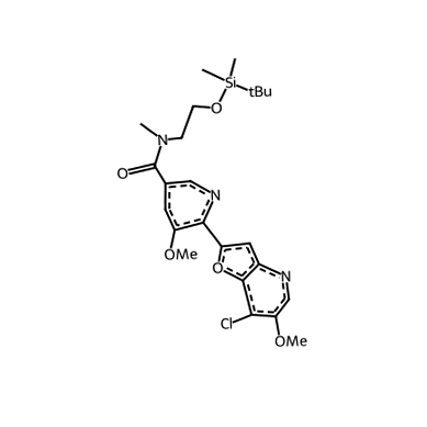 COc1cc(C(=O)N(C)CCO[Si](C)(C)C(C)(C)C)cnc1-c1cc2ncc(OC)c(Cl)c2o1